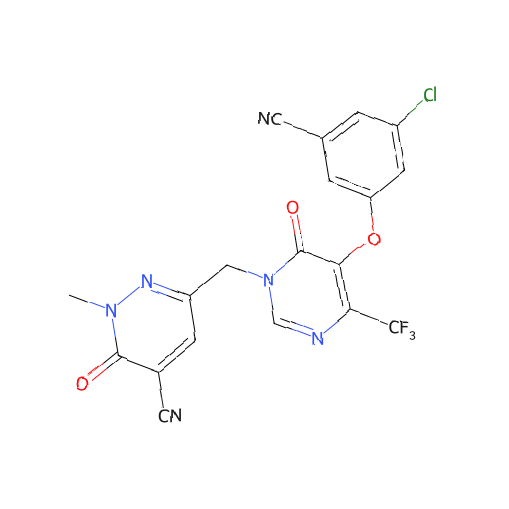 Cn1nc(Cn2cnc(C(F)(F)F)c(Oc3cc(Cl)cc(C#N)c3)c2=O)cc(C#N)c1=O